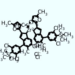 Cc1ccc(C2=Cc3c(cc(C)c(C)c3-c3cc(Cl)c([Si](C)(C)C)c(Cl)c3)[CH]2[Zr+2]([CH]2C(c3ccc(C)o3)=Cc3c2cc(C)c(C)c3-c2cc(Cl)c([Si](C)(C)C)c(Cl)c2)=[Si](C)C)o1.[Cl-].[Cl-]